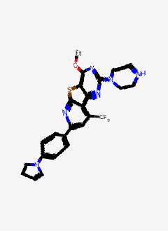 CCOc1nc(N2CCNCC2)nc2c1sc1nc(-c3ccc(N4C=CCC4)cc3)cc(C(F)(F)F)c12